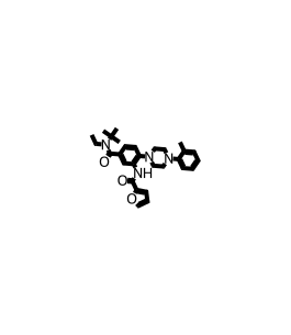 CCN(C(=O)c1ccc(N2CCN(c3ccccc3C)CC2)c(NC(=O)c2ccco2)c1)C(C)(C)C